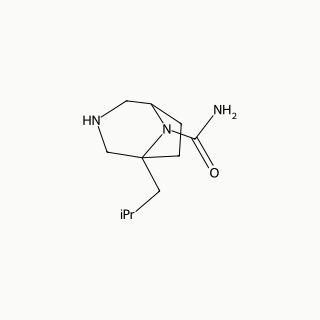 CC(C)CC12CCC(CNC1)N2C(N)=O